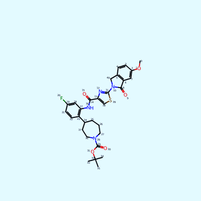 COc1ccc2c(c1)C(=O)N(c1nc(C(=O)Nc3cc(F)ccc3C3CCCN(C(=O)OC(C)(C)C)CC3)cs1)C2